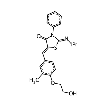 Cc1cc(/C=C2\S/C(=N\C(C)C)N(c3ccccc3)C2=O)ccc1OCCO